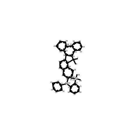 CC1(C)c2c(ccc3cc(N(c4ccccc4)c4ccccc4[Si](C)(C)C)ccc23)-c2c1c1ccccc1c1ccccc21